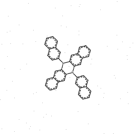 c1ccc2cc(N3c4cc5ccccc5cc4N(c4ccc5ccccc5c4)c4cc5ccccc5cc43)ccc2c1